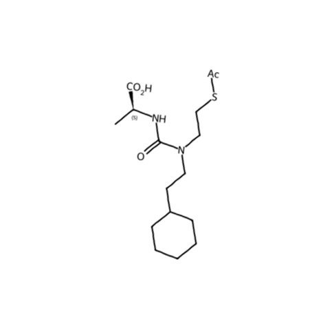 CC(=O)SCCN(CCC1CCCCC1)C(=O)N[C@@H](C)C(=O)O